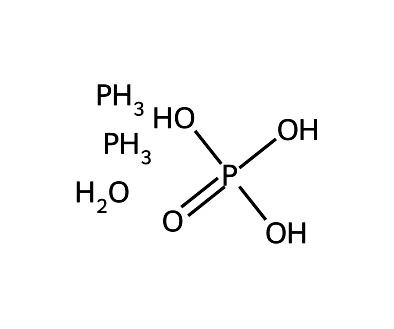 O.O=P(O)(O)O.P.P